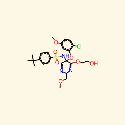 COCC1N=CC(NS(=O)(=O)c2ccc(C(C)(C)C)cc2)(Oc2cc(OC)ccc2Cl)C(OCCO)=N1